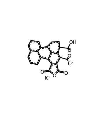 O=C(O)c1ccc2c3cccc4cccc(c43)c3c4c(=O)oc(=O)c4c(C(=O)[O-])c1c23.[K+]